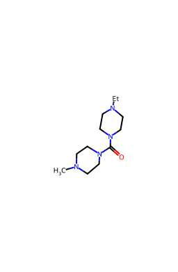 CCN1CCN(C(=O)N2CCN(C)CC2)CC1